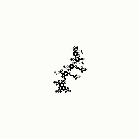 CC(=O)Nc1cc(N=Nc2cc(OCCCS(=O)(=O)O)c(N=Nc3c(C)c(C#N)c4nc5c(C)c(S(=O)(=O)O)ccc5n4c3O)cc2C)c(SCCCS(=O)(=O)O)cc1N=Nc1nc2c(S(=O)(=O)O)cc3c(S(=O)(=O)O)cc(S(=O)(=O)O)cc3c2s1